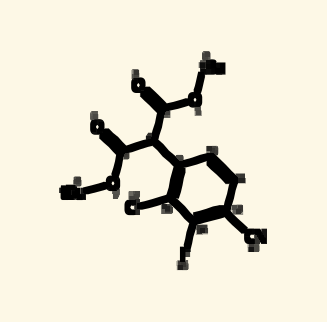 CC(C)(C)OC(=O)C(C(=O)OC(C)(C)C)c1ccc(C#N)c(F)c1Cl